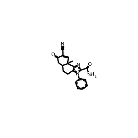 CC12C=C(C#N)C(=O)CC1CCc1c2nc(C(N)=O)n1-c1ccccc1